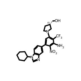 Nc1c([N+](=O)[O-])c(-c2ccc3c(c2)ncn3C2CCCCC2)cc(N2CC[C@H](CO)C2)c1C(F)(F)F